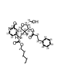 CCCCCOC(=O)Nc1ccnc(=O)n1[C@@H]1O[C@H](CO)[C@@H](OC(=O)CCc2ccccc2)C1(F)F